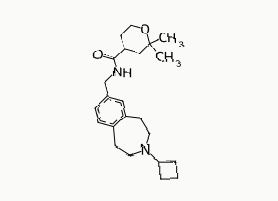 CC1(C)CC(C(=O)NCc2ccc3c(c2)CCN(C2CCC2)CC3)CCO1